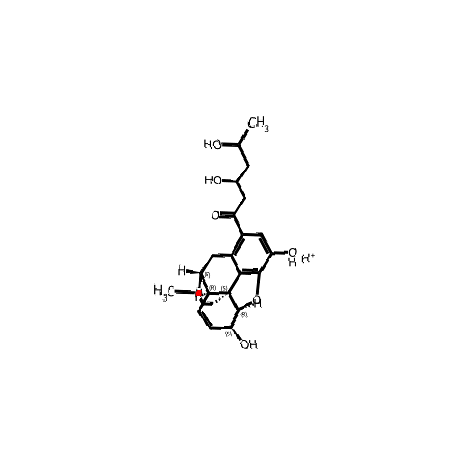 CC(O)CC(O)CC(=O)c1cc(O)c2c3c1C[C@@H]1[C@@H]4C=C[C@H](O)[C@H](O2)[C@]34CCN1C.[H+]